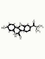 CN(C)C(=O)c1ccc2c(c1)oc1c3ccc(O)cc3[nH]c(=O)c21